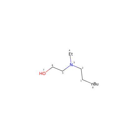 CCCCCCN(CC)CCO